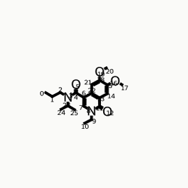 CCCN(C(=O)c1cn(CC)c(=O)c2cc(OC)c(OC)cc12)C(C)C